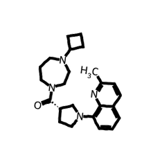 Cc1ccc2cccc(N3CC[C@H](C(=O)N4CCCN(C5CCC5)CC4)C3)c2n1